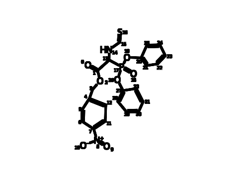 O=C(OCc1ccc([N+](=O)[O-])cc1)C(NC=S)P(=O)(Oc1ccccc1)Oc1ccccc1